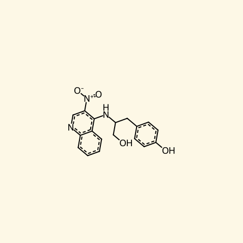 O=[N+]([O-])c1cnc2ccccc2c1NC(CO)Cc1ccc(O)cc1